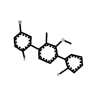 COc1c(-c2ccccc2F)ccc(-c2cc(Br)ccc2F)c1C